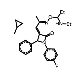 CC1CC1.CCNC(CC)ON=C(C)C=C1C(=O)N(c2ccc(F)cc2)C1c1ccccc1